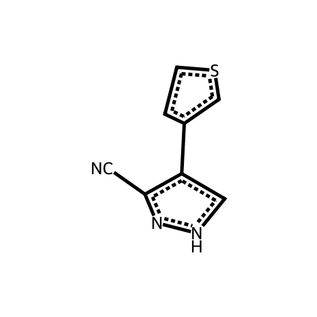 N#Cc1n[nH]cc1-c1ccsc1